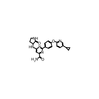 NC(=O)c1cc(NC2CCNC2=O)nc(-c2ccc(Oc3ccc(C4CC4)cn3)cc2)n1